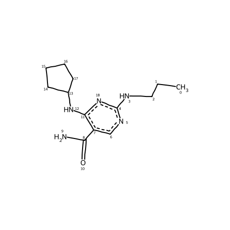 CCCNc1ncc(C(N)=O)c(NC2CCCC2)n1